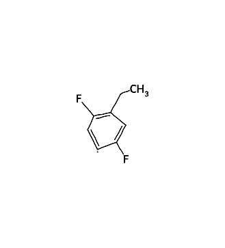 CCc1cc(F)[c]cc1F